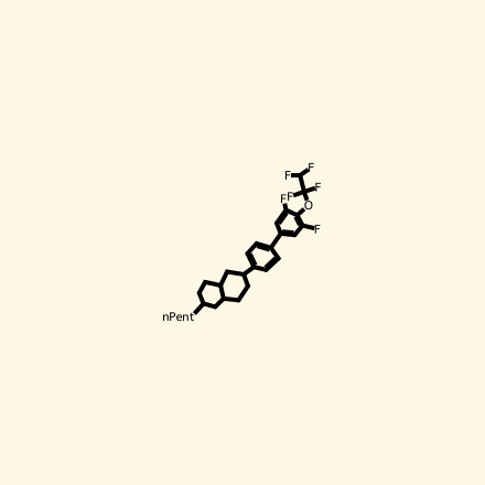 CCCCCC1CCC2CC(c3ccc(-c4cc(F)c(OC(F)(F)C(F)F)c(F)c4)cc3)CCC2C1